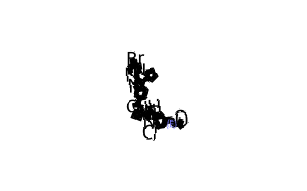 CC(=O)/C=C/c1cc(Cl)c2nc(C3(NC(=O)c4ccc5c(C6CCCC6)c(-c6ncc(Br)cn6)n(C)c5c4)CCC3)n(C)c2c1